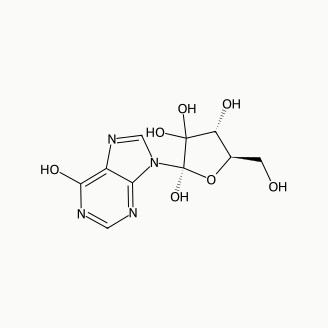 OC[C@H]1O[C@@](O)(n2cnc3c(O)ncnc32)C(O)(O)[C@@H]1O